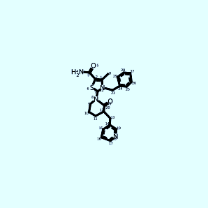 CC1=C(C(N)=O)SC(N2CCCC(Cc3cccnc3)C2=O)N1Cc1ccccc1